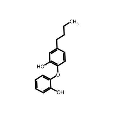 CCCCc1ccc(Oc2ccccc2O)c(O)c1